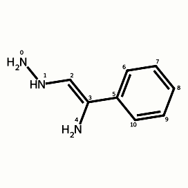 NN/C=C(\N)c1ccccc1